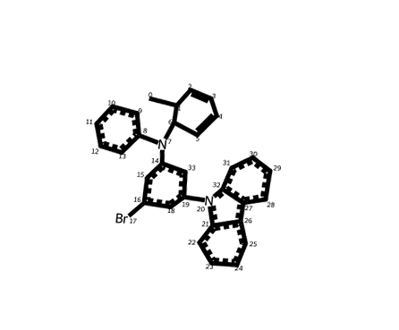 CC1C=CC=CC1N(c1ccccc1)c1cc(Br)cc(-n2c3ccccc3c3ccccc32)c1